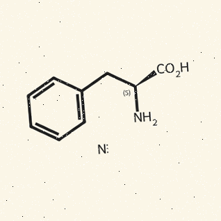 N[C@@H](Cc1ccccc1)C(=O)O.[N]